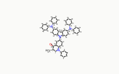 Cc1cn(-c2ccccc2)c2ccc(-n3c4ccc(N(c5ccccc5)c5ccccc5)cc4c4cc(N(c5ccccc5)c5ccccc5)ccc43)cc2c1=O